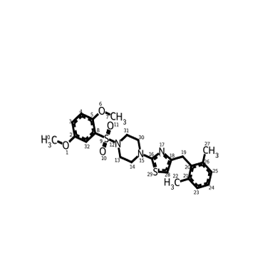 COc1ccc(OC)c(S(=O)(=O)N2CCN(c3nc(Cc4c(C)cccc4C)cs3)CC2)c1